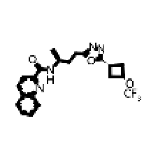 C=C(CCc1nnc([C@H]2C[C@@H](OC(F)(F)F)C2)o1)NC(=O)c1ccc2ccccc2n1